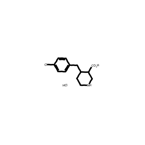 Cl.O=C(O)C1CNCCC1Cc1ccc(Cl)cc1